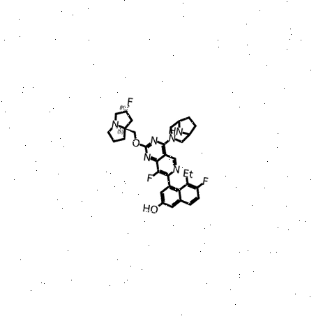 CCc1c(F)ccc2cc(O)cc(-c3ncc4c(N5CC6CCC(C5)N6)nc(OC[C@@]56CCCN5C[C@H](F)C6)nc4c3F)c12